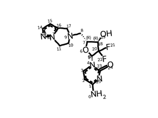 Nc1ccn([C@@H]2O[C@H](CN3CCn4nccc4C3)[C@@H](O)C2(F)F)c(=O)n1